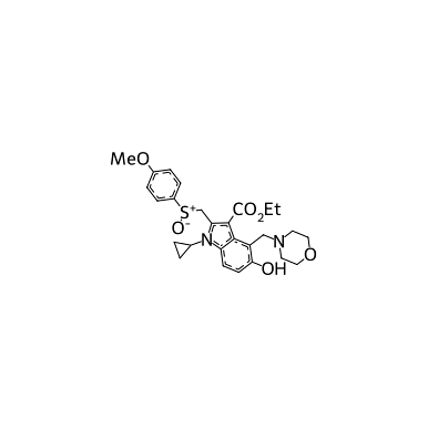 CCOC(=O)c1c(C[S+]([O-])c2ccc(OC)cc2)n(C2CC2)c2ccc(O)c(CN3CCOCC3)c12